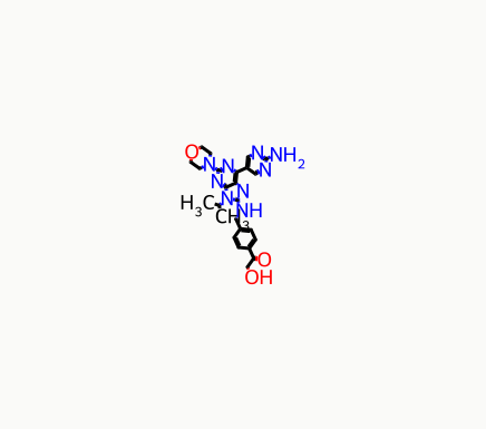 CC(C)n1c(NCc2ccc(C(=O)CO)cc2)nc2c(-c3cnc(N)nc3)nc(N3CCOCC3)nc21